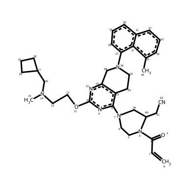 C=CC(=O)N1CCN(c2nc(OCCN(C)CC3CCC3)nc3c2CCN(c2cccc4cccc(C)c24)C3)CC1CC#N